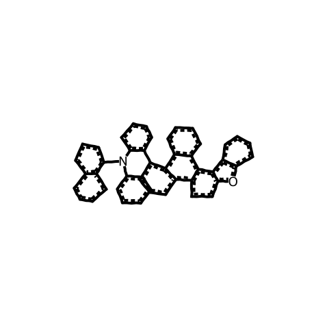 c1ccc(N(c2ccccc2-c2cccc3c4ccc5oc6ccccc6c5c4c4ccccc4c23)c2cccc3ccccc23)cc1